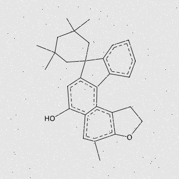 Cc1cc2c(O)cc3c(c2c2c1OCC2)-c1ccccc1C31CC(C)(C)CC(C)(C)C1